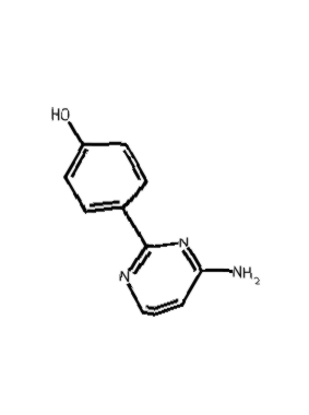 Nc1ccnc(-c2ccc(O)cc2)n1